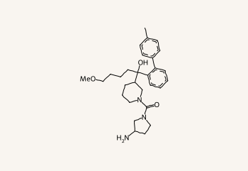 COCCCCC(O)(c1ccccc1-c1ccc(C)cc1)C1CCCN(C(=O)N2CCC(N)C2)C1